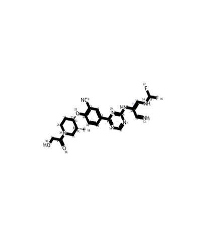 N#Cc1cc(-c2ncnc(N/C(C=N)=C/NC(F)F)n2)ccc1O[C@H]1CCN(C(=O)CO)C[C@H]1F